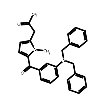 Cn1c(CC(=O)O)ccc1C(=O)c1cccc(N(Cc2ccccc2)Cc2ccccc2)c1